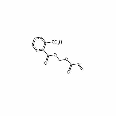 C=CC(=O)OCOC(=O)c1ccccc1C(=O)O